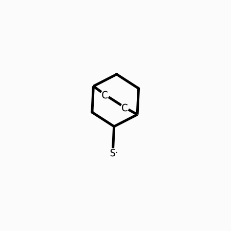 [S]C1CC2CCC1CC2